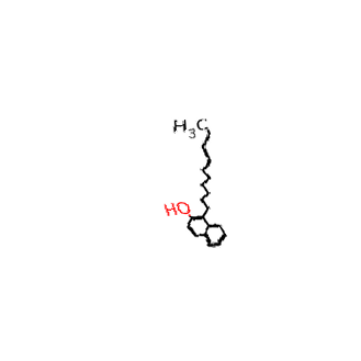 CCCCCCCCCCc1c(O)ccc2ccccc12